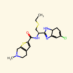 CCSC[C@H](NC(=O)c1cc2c(s1)CN(C)CC2)C1=NC2=CC(Cl)=CCC2N1